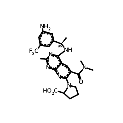 Cc1nc(N[C@H](C)c2cc(N)cc(C(F)(F)F)c2)c2cc(C(=O)N(C)C)c(N3CCCC3C(=O)O)nc2n1